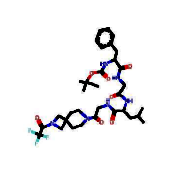 CC(C)CC(NC(=O)CNC(=O)C(Cc1ccccc1)NC(=O)OC(C)(C)C)C(=O)NCC(=O)N1CCC2(CC1)CN(C(=O)C(F)(F)F)C2